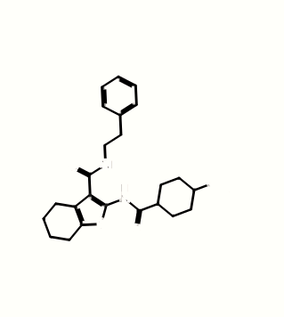 O=C(NCCc1ccccc1)c1c(NC(=O)C2CCC(C(=O)O)CC2)sc2c1CCCC2